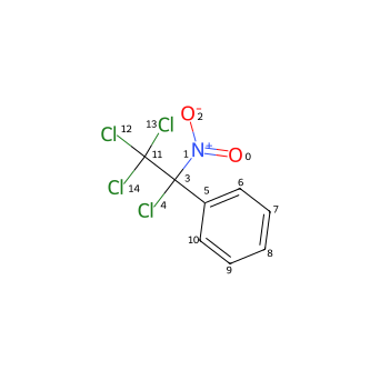 O=[N+]([O-])C(Cl)(c1ccccc1)C(Cl)(Cl)Cl